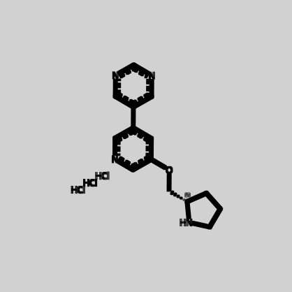 Cl.Cl.Cl.c1ncc(-c2cncc(OC[C@@H]3CCCN3)c2)cn1